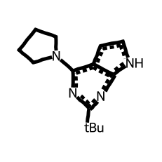 CC(C)(C)c1nc(N2CCCC2)c2cc[nH]c2n1